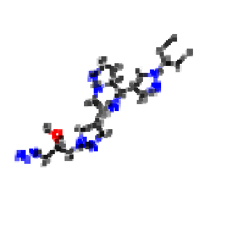 CCC(CC)n1cc(-c2nc(-c3cnn(CC(CN)OC)c3)cn3nccc23)cn1